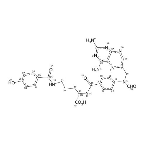 Nc1nc(N)c2nc(CN(C=O)c3ccc(C(=O)N[C@@H](CCCNC(=O)c4ccc(O)cc4)C(=O)O)cc3)cnc2n1